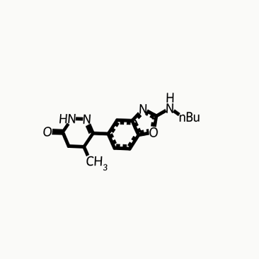 CCCCNc1nc2cc(C3=NNC(=O)CC3C)ccc2o1